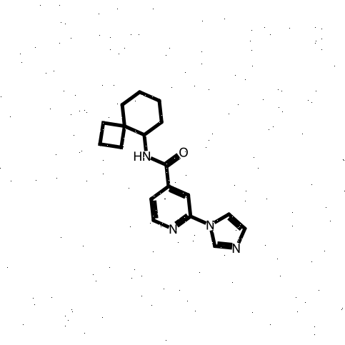 O=C(NC1CCCCC12CCC2)c1ccnc(-n2ccnc2)c1